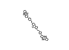 CN1c2ccccc2N(C)c2cc(-c3ccc(/C=C/c4ccc5c(c4)C(C)(C)c4cc(/C=C/c6ccc(-c7ccc8c(c7)N(C)c7ccccc7N8C)cc6)ccc4-5)cc3)ccc21